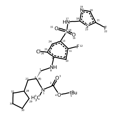 CN(C(=O)OC(C)(C)C)[C@@H](CNc1cc(F)c(S(=O)(=O)Nc2ncc(F)s2)cc1Cl)CC1CCCC1